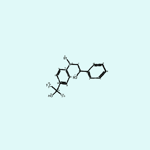 CCN(CC(O)c1ccccc1)c1ccc(C(O)(C(F)(F)F)C(F)(F)F)cc1